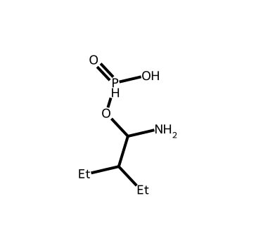 CCC(CC)C(N)O[PH](=O)O